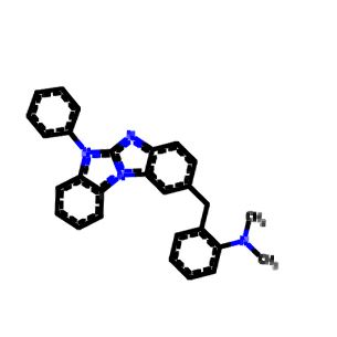 CN(C)c1ccccc1Cc1ccc2nc3n(-c4ccccc4)c4ccccc4n3c2c1